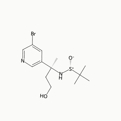 CC(C)(C)[S@@+]([O-])N[C@@](C)(CCO)c1cncc(Br)c1